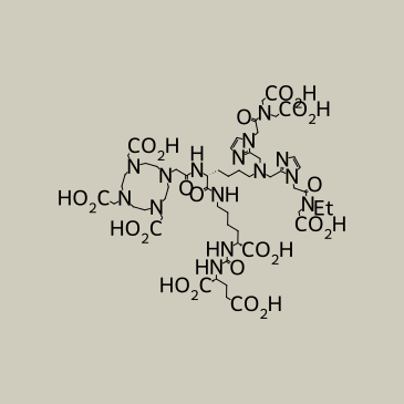 CCN(CC(=O)O)C(=O)Cn1ccnc1CN(CCCC[C@@H](NC(=O)CN1CCN(CC(=O)O)CCN(CC(=O)O)CCN(CC(=O)O)CC1)C(=O)NCCCC[C@H](NC(=O)N[C@@H](CCC(=O)O)C(=O)O)C(=O)O)Cc1nccn1CC(=O)N(CC(=O)O)CC(=O)O